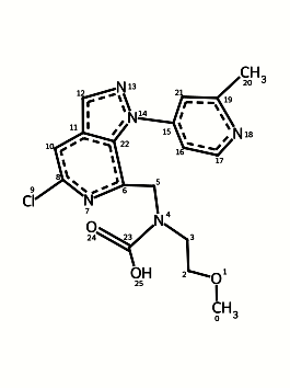 COCCN(Cc1nc(Cl)cc2cnn(-c3ccnc(C)c3)c12)C(=O)O